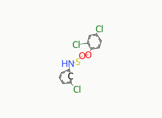 Clc1cccc(NSOOc2ccc(Cl)cc2Cl)c1